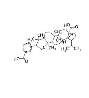 CC(C)C1CC[C@]2(C(=O)O)CC[C@]3(C)[C@H](CCC4[C@@]5(C)CC[C@H](c6cccc(C(=O)O)c6)C(C)(C)[C@@H]5CC[C@]43C)[C@@H]12